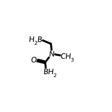 BCN(C)C(B)=O